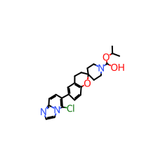 CC(C)OC(O)N1CCC2(CCc3cc(-c4ccc5nccn5c4Cl)ccc3O2)CC1